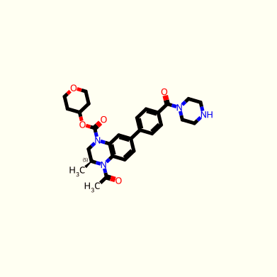 CC(=O)N1c2ccc(-c3ccc(C(=O)N4CCNCC4)cc3)cc2N(C(=O)OC2CCOCC2)C[C@@H]1C